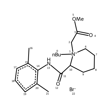 CCCC[N+]1(CC(=O)OC)CCCCC1C(=O)Nc1c(C)cccc1C.[Br-]